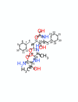 C[C@H](NC(=O)[C@H](Cc1ccccc1)C[C@@H](O)[C@H](Cc1ccccc1)NC(=O)O)C(=O)N[C@H](C(N)=O)[C@@H](C)O